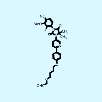 COc1c(C#N)ccc(N2C(=O)C(C)(C)N(c3ccc(-c4ccc(OCCCCOCC=O)cc4)nc3)C2=S)c1F